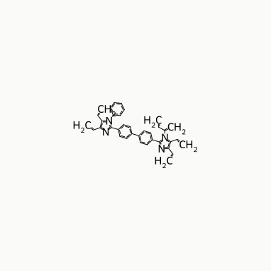 C=CC(=C)n1c(-c2ccc(-c3ccc(-c4nc(C=C)c(C=C)n4-c4ccccc4)cc3)cc2)nc(C=C)c1C=C